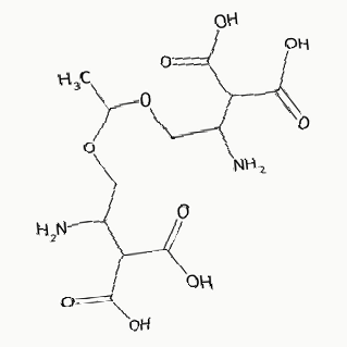 CC(OCC(N)C(C(=O)O)C(=O)O)OCC(N)C(C(=O)O)C(=O)O